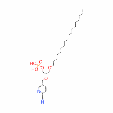 CCCCCCCCCCCCCCCCCCOCC(COP(=O)(O)O)OCc1ccc(C#N)nc1